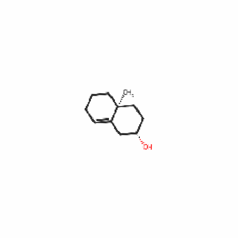 C[C@@]12CCCC=C1C[C@@H](O)CC2